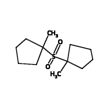 CC1(S(=O)(=O)C2(C)CCCC2)CCCC1